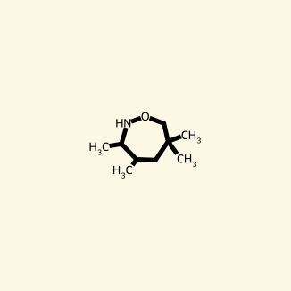 CC1CC(C)(C)CONC1C